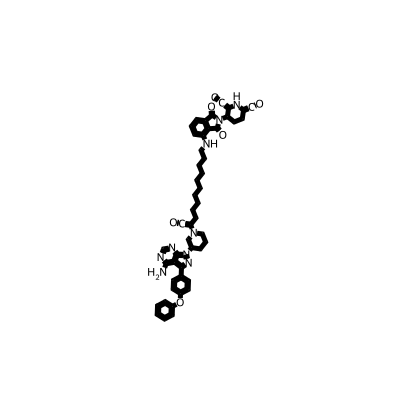 Nc1ncnc2c1c(-c1ccc(Oc3ccccc3)cc1)nn2C1CCCN(C(=C=O)CCCCCCCCCCNc2cccc3c2C(=O)N(C2CCC(=C=O)NC2=C=O)C3=O)C1